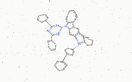 c1ccc(-c2ccc(-n3c4ccccc4c4cc5c6ccccc6n(-c6nc(-c7ccccc7)nc(-c7ccccc7)n6)c5cc43)cc2)cc1